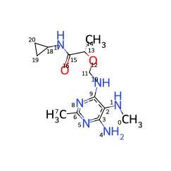 CNc1c(N)nc(C)nc1NCO[C@@H](C)C(=O)NC1CC1